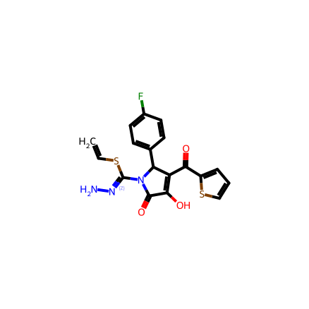 C=CS/C(=N\N)N1C(=O)C(O)=C(C(=O)c2cccs2)C1c1ccc(F)cc1